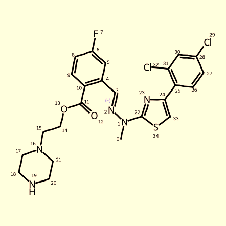 CN(/N=C/c1cc(F)ccc1C(=O)OCCN1CCNCC1)c1nc(-c2ccc(Cl)cc2Cl)cs1